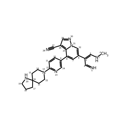 CN/C=C(\C=N)c1cc(-c2ccc(N3CCC4(CCCN4)CC3)nc2)c2c(C#N)cnn2c1